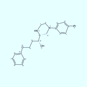 CC(C)c1ccc(N2CCN[C@@H]([C@H](O)CCOc3cc[c]cc3)C2)cc1